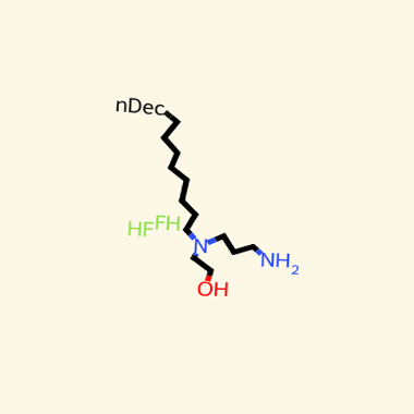 CCCCCCCCCCCCCCCCCCN(CCO)CCCN.F.F